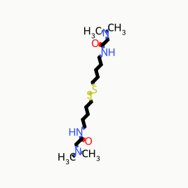 CN(C)CC(=O)NCCCCCSSCCCCCNC(=O)CN(C)C